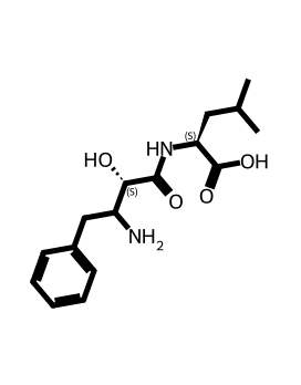 CC(C)C[C@H](NC(=O)[C@@H](O)C(N)Cc1ccccc1)C(=O)O